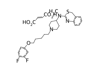 CN(C1=Nc2ccccc2CS1)C1CCN(CCCCCOc2ccc(F)c(F)c2)CC1.O=C(O)C=CC(=O)O